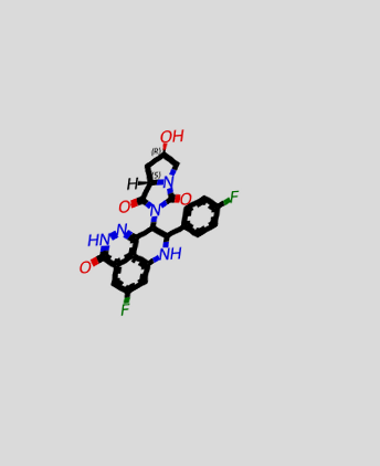 O=C1[C@@H]2C[C@@H](O)CN2C(=O)N1C1c2n[nH]c(=O)c3cc(F)cc(c23)NC1c1ccc(F)cc1